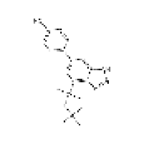 CC(C)(C)CC(C)(C)c1cc(-c2ccc(O)cc2)cc2[nH]nnc12